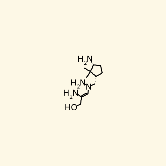 CC1(C)[C@@H](CN(N)/C=C(\N)CO)CC[C@H]1N